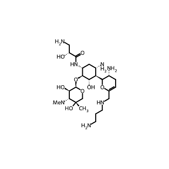 CN[C@@H]1[C@@H](O)[C@@H](O[C@@H]2[C@@H](O)[C@H](C3OC(CNCCCN)=CC[C@H]3N)[C@@H](N)C[C@H]2NC(=O)[C@H](O)CN)OC[C@]1(C)O